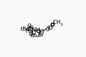 Cc1ccc(OSOCCCOc2ccc(CNC(=NC(=O)OC(C)(C)C)NC(=O)OC(C)(C)C)cc2Br)cc1